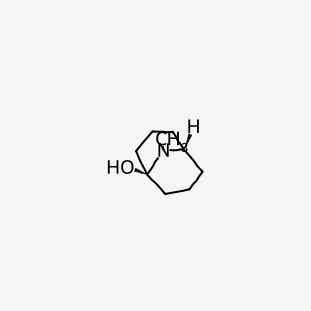 CN1[C@H]2CCC[C@]1(O)CCC2